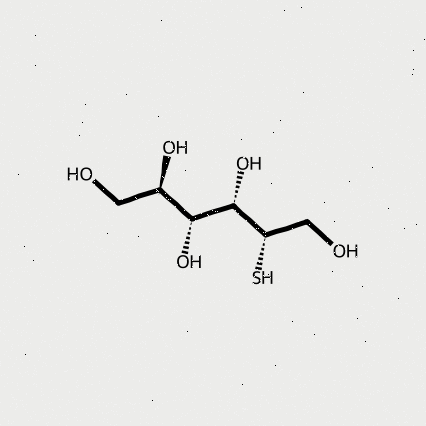 OC[C@@H](O)[C@@H](O)[C@H](O)[C@@H](S)CO